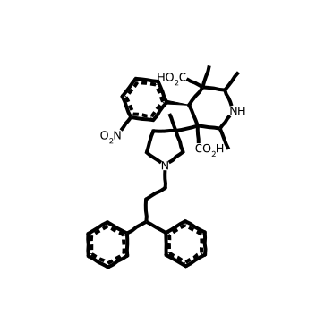 CC1NC(C)C(C(=O)O)(C2(C)CCN(CCC(c3ccccc3)c3ccccc3)C2)[C@@H](c2cccc([N+](=O)[O-])c2)C1(C)C(=O)O